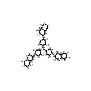 c1ccc2cc(-c3ccc(N(c4ccc(-c5cnc6ccccc6c5)cc4)c4ccc(-c5cnc6ccccc6c5)cc4)cc3)ccc2c1